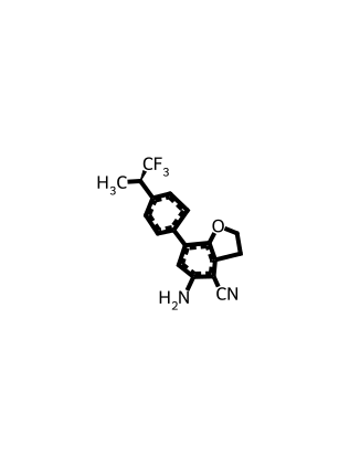 C[C@H](c1ccc(-c2cc(N)c(C#N)c3c2OCC3)cc1)C(F)(F)F